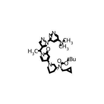 CC(c1cnn(-c2cc(N(C)C)cnn2)c1)n1ccc(N2CCC[C@@H](N(CC3CC3)C(=O)OC(C)(C)C)C2)cc1=O